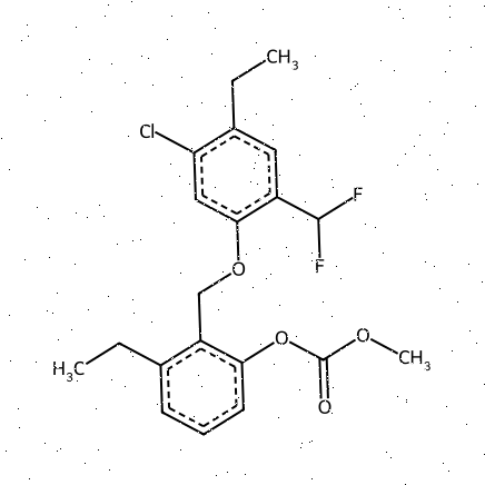 CCc1cc(C(F)F)c(OCc2c(CC)cccc2OC(=O)OC)cc1Cl